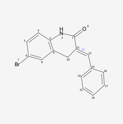 O=C1Nc2ccc(Br)cc2C/C1=C\c1ccccc1